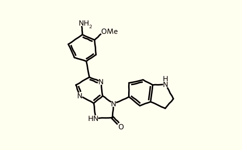 COc1cc(-c2cnc3[nH]c(=O)n(-c4ccc5c(c4)CCN5)c3n2)ccc1N